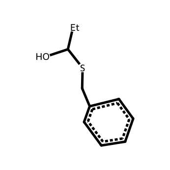 CCC(O)SCc1ccccc1